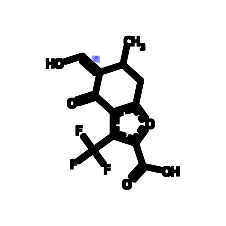 CC1Cc2oc(C(=O)O)c(C(F)(F)F)c2C(=O)/C1=C\O